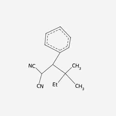 CCC(C)(C)C(c1ccccc1)C(C#N)C#N